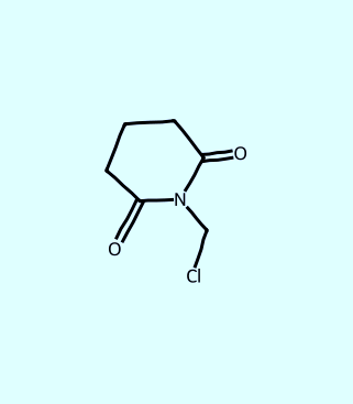 O=C1CCCC(=O)N1CCl